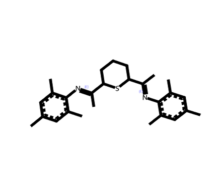 C/C(=N\c1c(C)cc(C)cc1C)C1CCCC(/C(C)=N/c2c(C)cc(C)cc2C)S1